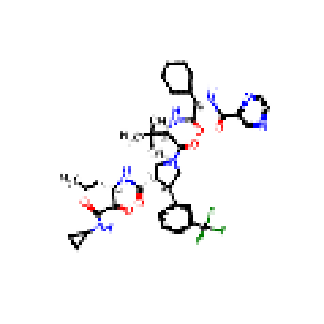 CCC[C@H](NC(=O)[C@@H]1CN(C(=O)[C@@H](NC(=O)[C@@H](NC(=O)c2cnccn2)C2CCCCC2)C(C)(C)C)C[C@H]1c1cccc(C(F)(F)F)c1)C(=O)C(=O)NC1CC1